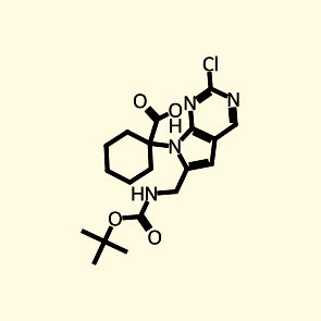 CC(C)(C)OC(=O)NCc1cc2cnc(Cl)nc2n1C1(C(=O)O)CCCCC1